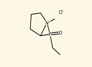 CCP1(=O)C2CCC[N+]21C.[Cl-]